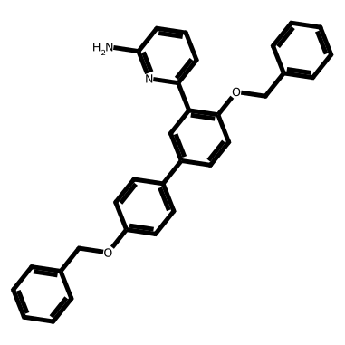 Nc1cccc(-c2cc(-c3ccc(OCc4ccccc4)cc3)ccc2OCc2ccccc2)n1